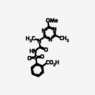 COc1nc(C)nc(N(C)C(=O)NS(=O)(=O)c2ccccc2C(=O)O)n1